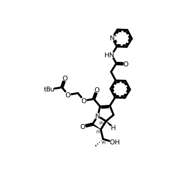 C[C@@H](O)[C@H]1C(=O)N2C(C(=O)OCOC(=O)C(C)(C)C)=C(c3cccc(CC(=O)Nc4ccccn4)c3)C[C@H]12